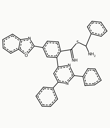 N=C(SC(N)c1ccccc1)c1ccc(-c2nc3ccccc3o2)cc1-c1cc(-c2ccccc2)nc(-c2ccccc2)n1